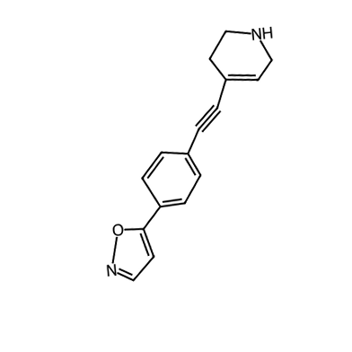 C(#Cc1ccc(-c2ccno2)cc1)C1=CCNCC1